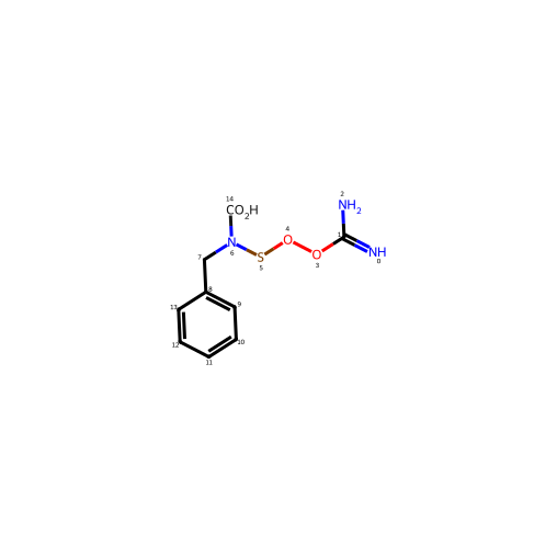 N=C(N)OOSN(Cc1ccccc1)C(=O)O